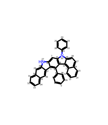 c1ccc(-c2c3c(cc4c2c2c5ccccc5ccc2n4-c2ccccc2)[nH]c2cc4ccccc4cc23)cc1